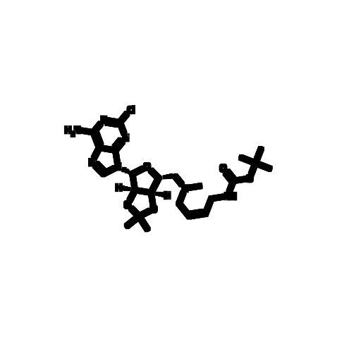 CN(C/C=C\CNC(=O)OC(C)(C)C)C[C@H]1O[C@@H](n2cnc3c(N)nc(Cl)nc32)[C@@H]2OC(C)(C)O[C@@H]21